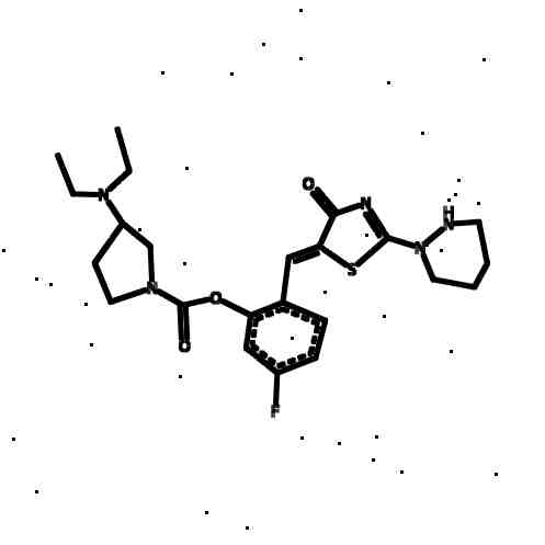 CCN(CC)C1CCN(C(=O)Oc2cc(F)ccc2/C=C2\SC(N3CCCCN3)=NC2=O)C1